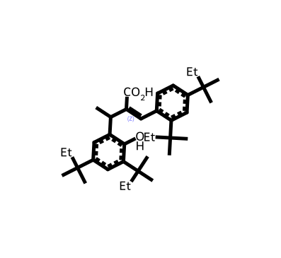 CCC(C)(C)c1ccc(/C=C(\C(=O)O)C(C)c2cc(C(C)(C)CC)cc(C(C)(C)CC)c2O)c(C(C)(C)CC)c1